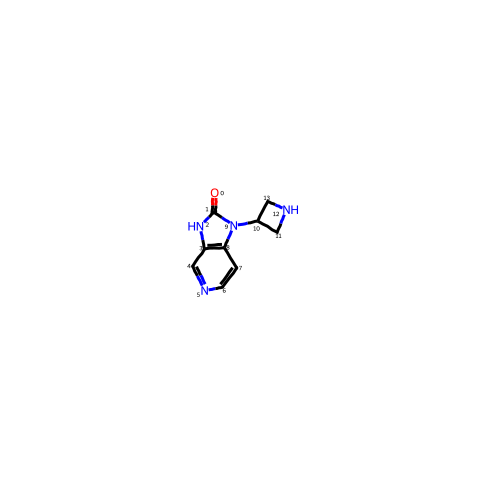 O=c1[nH]c2cnccc2n1C1CNC1